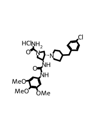 COc1cc(NC(=O)N[C@H]2CN(C(N)=O)C[C@@H]2N2CCC(Cc3ccc(Cl)cc3)CC2)cc(OC)c1OC.Cl